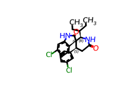 CCC(CC)[C@H]1NC(=O)C[C@@H](c2cccc(Cl)c2)[C@]12C(=O)Nc1cc(Cl)ccc12